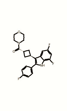 O=C([C@H]1C[C@H](c2c(-c3ccc(F)cc3)[nH]c3c(F)cc(F)cc32)C1)N1CCOCC1